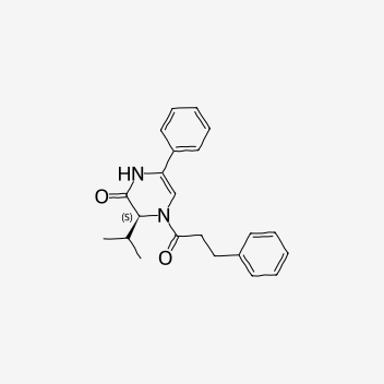 CC(C)[C@H]1C(=O)NC(c2ccccc2)=CN1C(=O)CCc1ccccc1